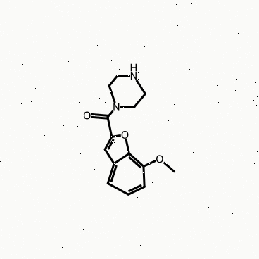 COc1cccc2cc(C(=O)N3CCNCC3)oc12